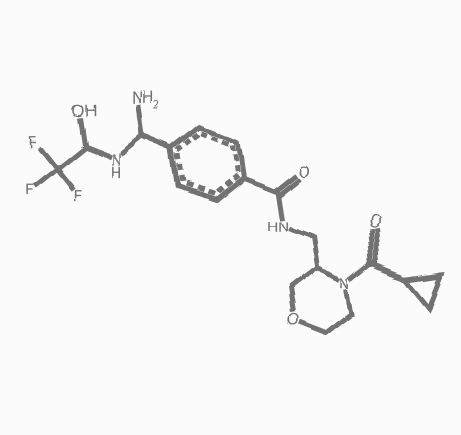 NC(NC(O)C(F)(F)F)c1ccc(C(=O)NCC2COCCN2C(=O)C2CC2)cc1